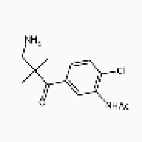 CC(=O)Nc1cc(C(=O)C(C)(C)CN)ccc1Cl